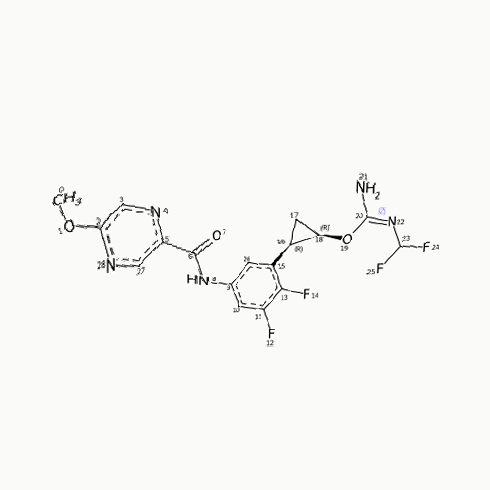 COc1cnc(C(=O)Nc2cc(F)c(F)c([C@H]3C[C@H]3O/C(N)=N\C(F)F)c2)cn1